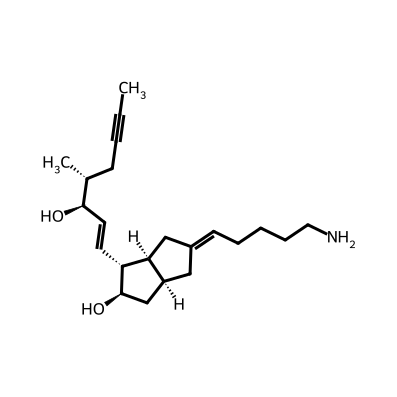 CC#CC[C@@H](C)[C@H](O)C=C[C@@H]1[C@H]2CC(=CCCCCN)C[C@H]2C[C@H]1O